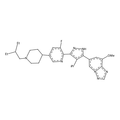 CCC(CC)CN1CCC(c2cnc(-c3n[nH]c(-c4cc(OC)c5ncnn5c4)c3C(C)C)c(F)c2)CC1